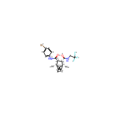 O=C(NCC(F)(F)F)[C@H]1[C@H](C(=O)Nc2ccc(Br)cc2)[C@@H]2C=C[C@H]1C21CC1